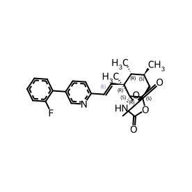 C[C@@H]1[C@@H](C)C[C@]23OC(=O)N[C@]2([C@@H](C)OC3=O)[C@H]1/C=C/c1ccc(-c2ccccc2F)cn1